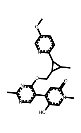 COc1ccc(C2C(C)C2COc2nc(C)ncc2-c2cc(=O)n(C)cc2O)nc1